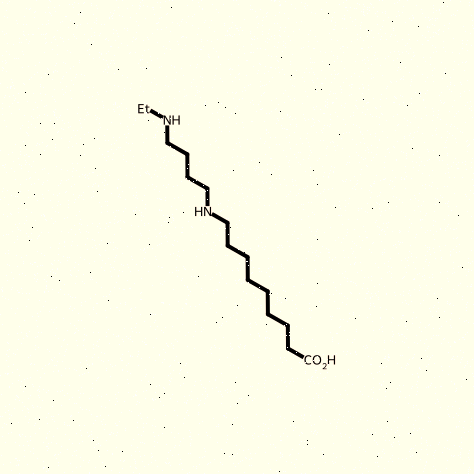 CCNCCCCNCCCCCCCCC(=O)O